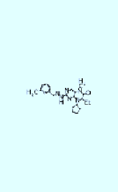 CCC1C(=O)N(C)c2cnc(NN=Cc3cccc(C)c3)nc2N1C1CCCC1